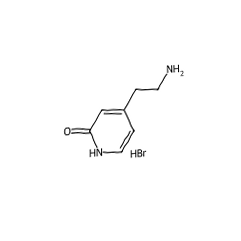 Br.NCCc1cc[nH]c(=O)c1